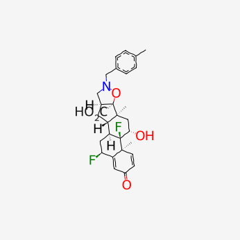 Cc1ccc(CN2C[C@@H]3C[C@H]4[C@@H]5C[C@H](F)C6=CC(=O)C=C[C@]6(C)[C@@]5(F)[C@@H](O)C[C@]4(C)[C@]3(C(=O)O)O2)cc1